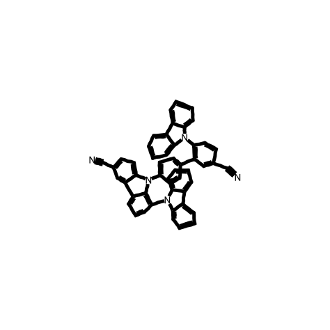 N#Cc1ccc(-n2c3ccccc3c3ccccc32)c(-c2ccc(-n3c4ccc(C#N)cc4c4cccc(-n5c6ccccc6c6ccccc65)c43)cc2)c1